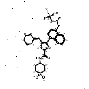 CN(Cc1ccc(-c2sc(C(=O)NC3CCS(=O)(=O)CC3)nc2CC2CCCCC2)c2ccccc12)CC(F)(F)F